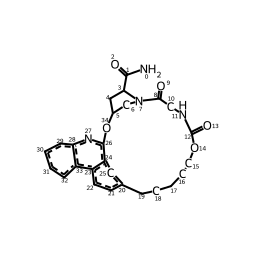 NC(=O)C1CC2CN1C(=O)CNC(=O)OCCCCCc1ccc3c(c1)c(nc1ccccc13)O2